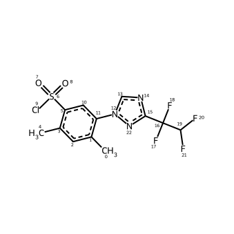 Cc1cc(C)c(S(=O)(=O)Cl)cc1-n1cnc(C(F)(F)C(F)F)n1